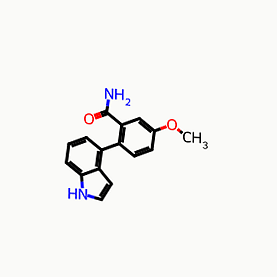 COc1ccc(-c2cccc3[nH]ccc23)c(C(N)=O)c1